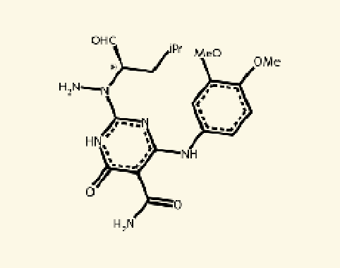 COc1ccc(Nc2nc(N(N)[C@@H](C=O)CC(C)C)[nH]c(=O)c2C(N)=O)cc1OC